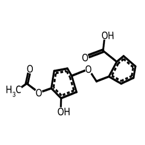 CC(=O)Oc1ccc(OCc2ccccc2C(=O)O)cc1O